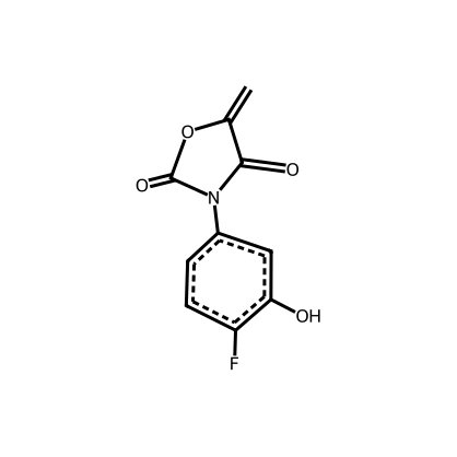 C=C1OC(=O)N(c2ccc(F)c(O)c2)C1=O